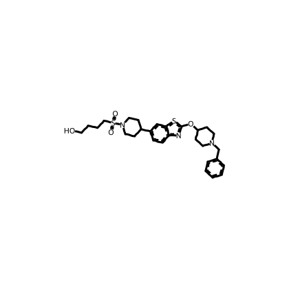 O=S(=O)(CCCCO)N1CCC(c2ccc3nc(OC4CCN(Cc5ccccc5)CC4)sc3c2)CC1